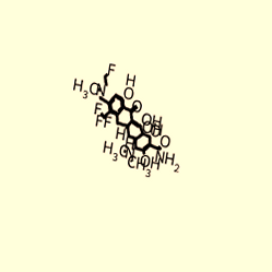 CN(CCF)Cc1cc(O)c2c(c1C(F)(F)F)C[C@H]1C[C@H]3[C@H](N(C)C)C(O)=C(C(N)=O)C(=O)[C@@]3(O)C(O)=C1C2=O